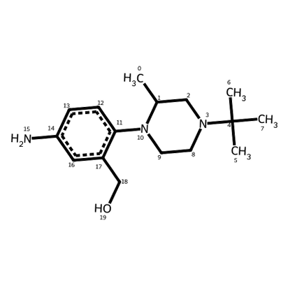 CC1CN(C(C)(C)C)CCN1c1ccc(N)cc1CO